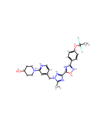 Cc1nc(-c2nc(-c3ccc(OC(C)(F)F)cc3)no2)nn1Cc1ccnc(N2CCC(O)CC2)c1